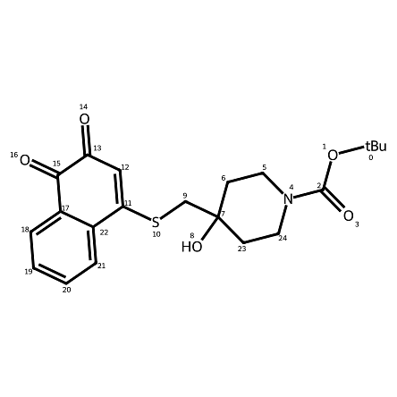 CC(C)(C)OC(=O)N1CCC(O)(CSC2=CC(=O)C(=O)c3ccccc32)CC1